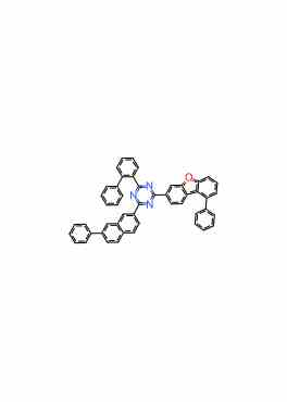 c1ccc(-c2ccc3ccc(-c4nc(-c5ccc6c(c5)oc5cccc(-c7ccccc7)c56)nc(-c5ccccc5-c5ccccc5)n4)cc3c2)cc1